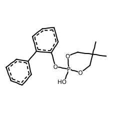 CC1(C)CO[P](O)(Oc2ccccc2-c2ccccc2)OC1